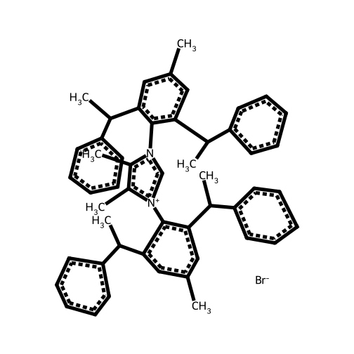 Cc1cc(C(C)c2ccccc2)c(-n2c[n+](-c3c(C(C)c4ccccc4)cc(C)cc3C(C)c3ccccc3)c(C)c2C)c(C(C)c2ccccc2)c1.[Br-]